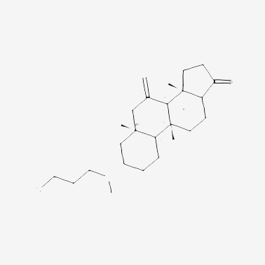 C=C1C[C@@]2(O)C[C@@H]([S+]([O-])CCCN)CC[C@]2(C)[C@H]2CC[C@]3(C)C(=O)CC[C@H]3[C@H]12